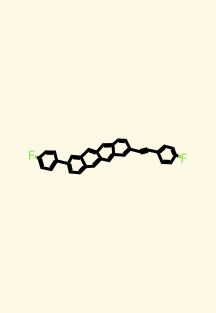 Fc1ccc(C#Cc2ccc3cc4cc5cc(-c6ccc(F)cc6)ccc5cc4cc3c2)cc1